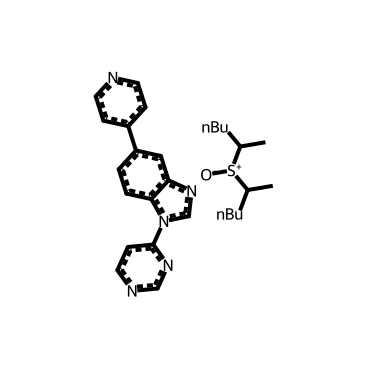 CCCCC(C)[S+]([O-])C(C)CCCC.c1cc(-c2ccc3c(c2)ncn3-c2ccncn2)ccn1